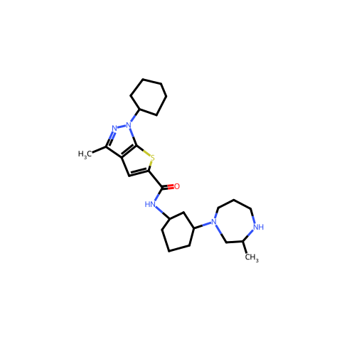 Cc1nn(C2CCCCC2)c2sc(C(=O)NC3CCCC(N4CCCNC(C)C4)C3)cc12